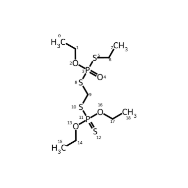 CCOP(=O)(SCC)SCSP(=S)(OCC)OCC